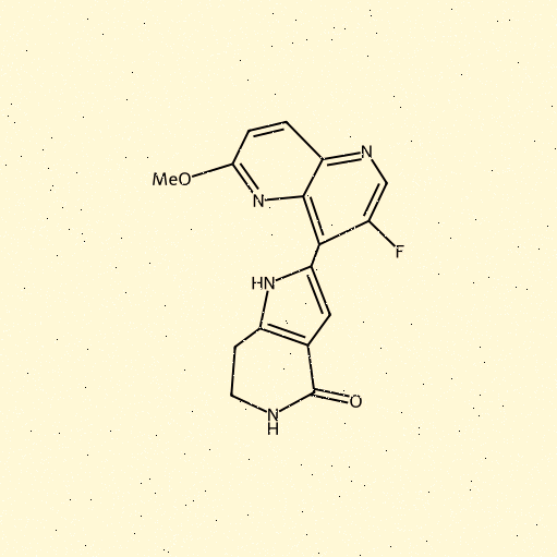 COc1ccc2ncc(F)c(-c3cc4c([nH]3)CCNC4=O)c2n1